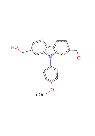 CCCCCCCCOc1ccc(-n2c3cc(CO)ccc3c3ccc(CO)cc32)cc1